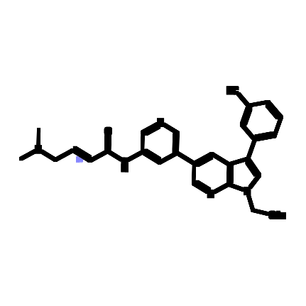 CC(=O)OCn1cc(-c2cccc(C#N)c2)c2cc(-c3cncc(NC(=O)/C=C/CN(C)C)c3)cnc21